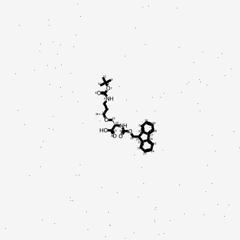 C[C@H](CCNC(=O)OC(C)(C)C)OC[C@H](NC(=O)OCC1c2ccccc2-c2ccccc21)C(=O)O